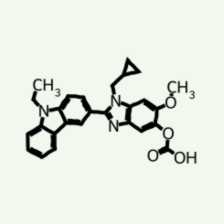 CCn1c2ccccc2c2cc(-c3nc4cc(OC(=O)O)c(OC)cc4n3CC3CC3)ccc21